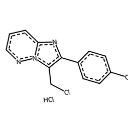 Cl.ClCc1c(-c2ccc(Cl)cc2)nc2cccnn12